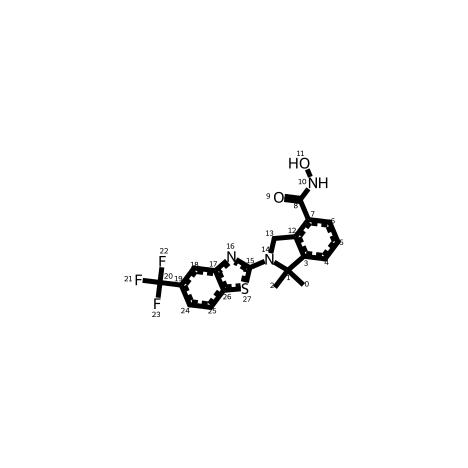 CC1(C)c2cccc(C(=O)NO)c2CN1c1nc2cc(C(F)(F)F)ccc2s1